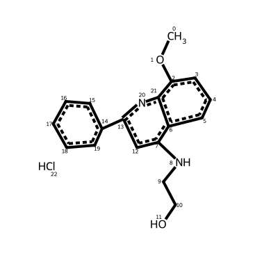 COc1cccc2c(NCCO)cc(-c3ccccc3)nc12.Cl